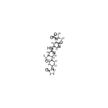 CC1Oc2cc(N3CCCC3=O)ccc2-c2cnc(Nc3cnc4c(c3)N3C(=O)OCC3CO4)cc21